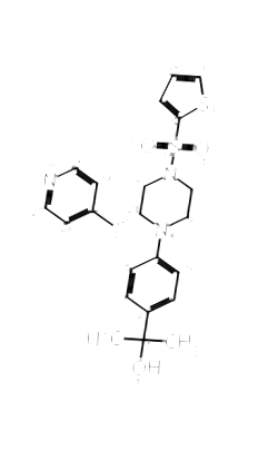 CC(C)(O)c1ccc(N2CCN(S(=O)(=O)c3cccs3)C[C@H]2Cc2ccncc2)cc1